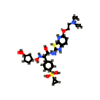 CN(C)CCOc1ccc2nc(NC(=O)/C(=N/O[C@@H]3CC[C@@H](O)C3)c3ccc(S(=O)(=O)C4CC4)cc3)sc2n1